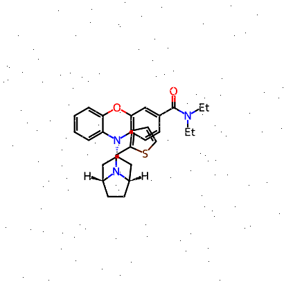 CCN(CC)C(=O)c1ccc2c(c1)Oc1ccccc1N2[C@H]1C[C@H]2CC[C@@H](C1)N2Cc1cccs1